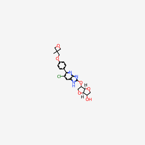 CC1(COc2ccc(-c3nc4nc(O[C@@H]5CO[C@H]6[C@@H]5OC[C@H]6O)[nH]c4cc3Cl)cc2)COC1